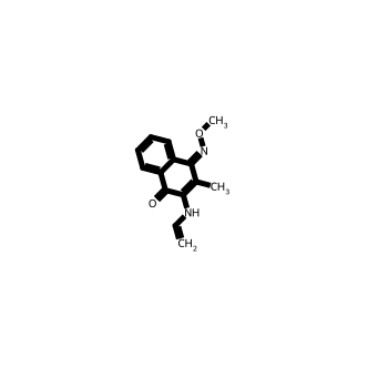 C=CNC1=C(C)/C(=N/OC)c2ccccc2C1=O